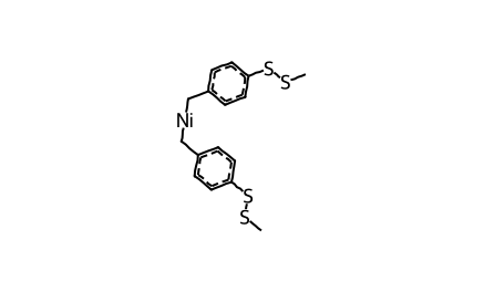 CSSc1ccc([CH2][Ni][CH2]c2ccc(SSC)cc2)cc1